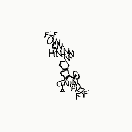 Cn1nc(OC(F)F)cc1Nc1nncn1[C@H]1CCc2sc(NC(=O)C3CC3)c(C(=O)NCC3CC(F)(F)C3)c2C1